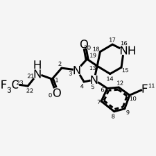 O=C(CN1CN(c2cccc(F)c2)C2(CCNCC2)C1=O)NCC(F)(F)F